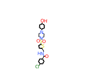 O=C(NCc1ccc(S(=O)(=O)N2CCN(c3ccc(O)cc3)CC2)s1)c1ccc(Cl)cc1